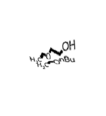 C=COCCCC.C=COCCO